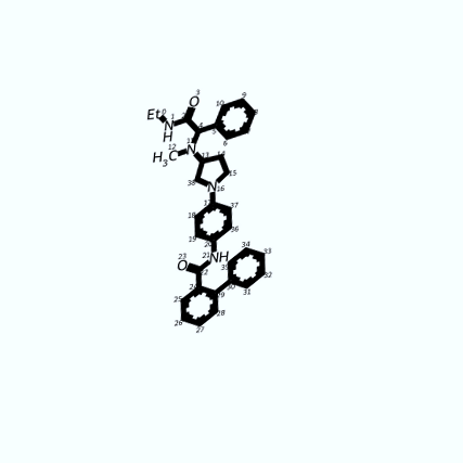 CCNC(=O)C(c1ccccc1)N(C)C1CCN(c2ccc(NC(=O)c3ccccc3-c3ccccc3)cc2)C1